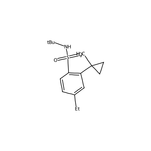 CCc1ccc(S(=O)(=O)NC(C)(C)C)c(C2(C)CC2)c1